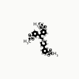 CCS(=O)(=O)c1cccc(C(=CCN2CC=C(c3cccc(S(C)(=O)=O)c3)CC2)c2cccc(S(=O)(=O)CC)c2)c1